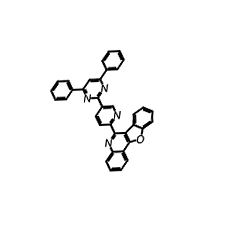 c1ccc(-c2cc(-c3ccccc3)nc(-c3ccc(-c4nc5ccccc5c5oc6ccccc6c45)nc3)n2)cc1